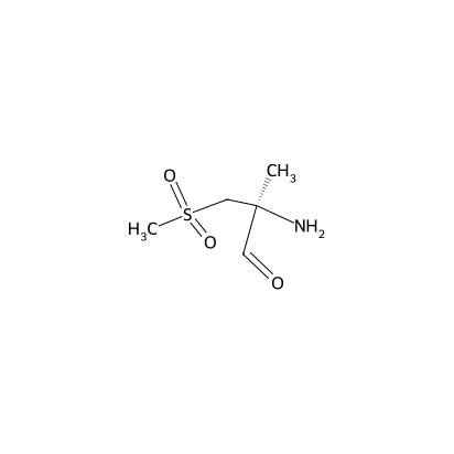 C[C@](N)(C=O)CS(C)(=O)=O